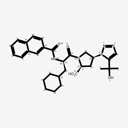 CC(C)(O)c1cnnn1[C@H]1C[C@@H](C(=O)O)N(C(=O)[C@@H](CC2CCCCC2)NC(=O)c2ccc3ccccc3c2)C1